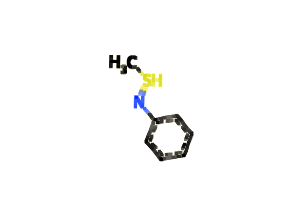 C/[SH]=N/c1ccccc1